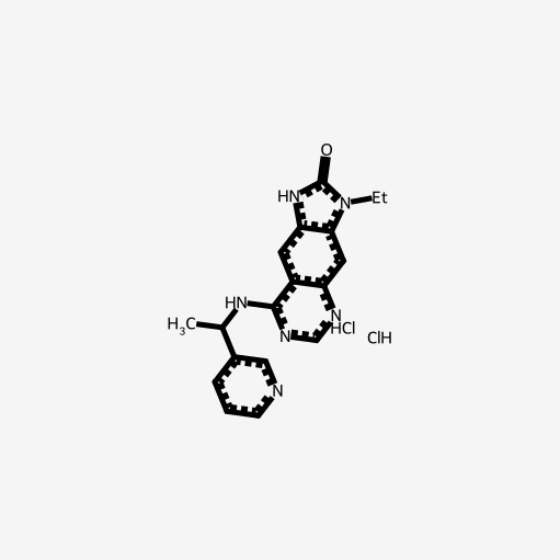 CCn1c(=O)[nH]c2cc3c(NC(C)c4cccnc4)ncnc3cc21.Cl.Cl